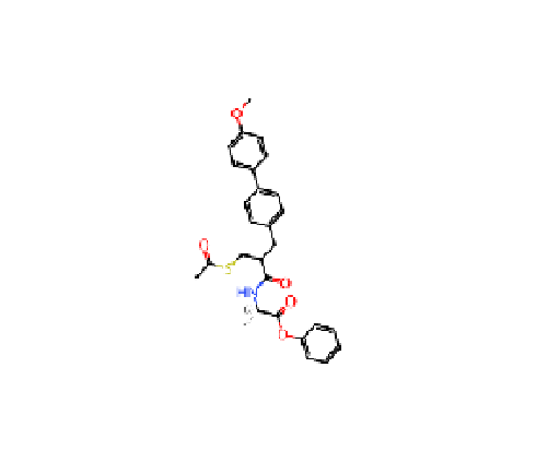 COc1ccc(-c2ccc(CC(CSC(C)=O)C(=O)N[C@@H](C)C(=O)Oc3ccccc3)cc2)cc1